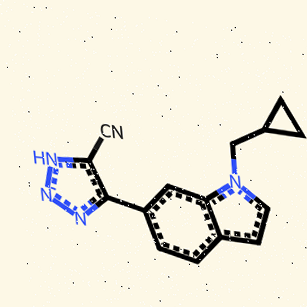 N#Cc1[nH]nnc1-c1ccc2ccn(CC3CC3)c2c1